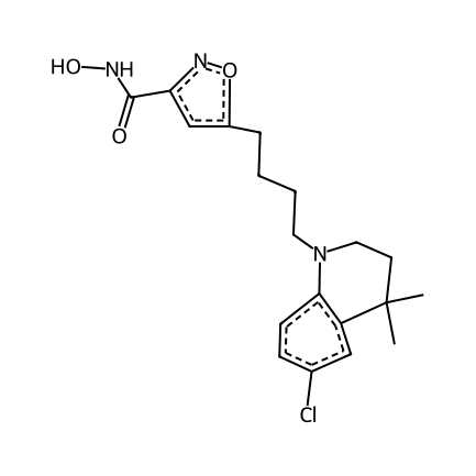 CC1(C)CCN(CCCCc2cc(C(=O)NO)no2)c2ccc(Cl)cc21